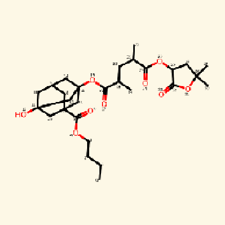 CCCCOC(=O)C12CC3CC(O)(CC(OC(=O)C(C)CC(C)C(=O)OC4CC(C)(C)OC4=O)(C3)C1)C2